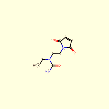 NC(=O)N(CCN1C(=O)C=CC1=O)CC(=O)O